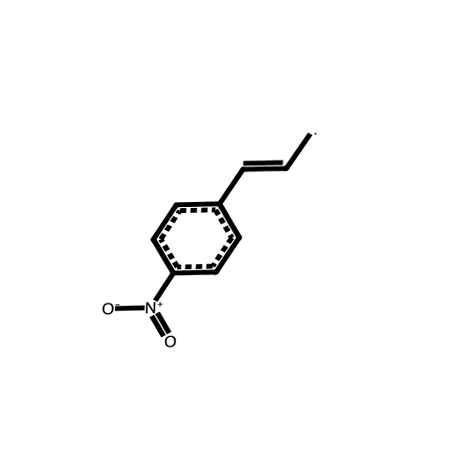 [CH2]/C=C/c1ccc([N+](=O)[O-])cc1